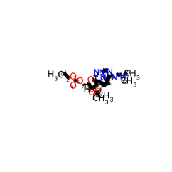 CCCOC(=O)OC[C@H]1O[C@@](C#N)(c2ccc3c(N=CN(C)C)ncnn23)[C@@H]2OC(C)(C)O[C@@H]21